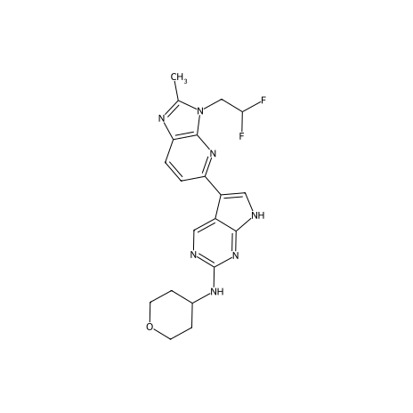 Cc1nc2ccc(-c3c[nH]c4nc(NC5CCOCC5)ncc34)nc2n1CC(F)F